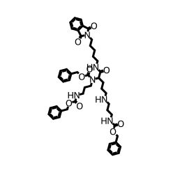 O=C(NCCCNCCCC(C(=O)NCCCCCN1C(=O)c2ccccc2C1=O)N(CCCNC(=O)OCc1ccccc1)C(=O)OCc1ccccc1)OCc1ccccc1